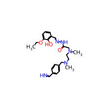 CCOc1cccc(/C=N/NC(=O)CN(C)CCN(C)Cc2ccc(C=N)cc2)c1O